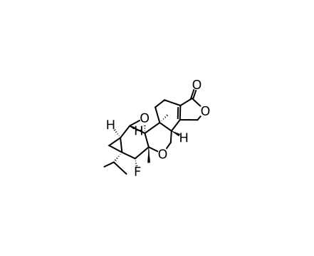 CC(C)[C@]12C[C@H]1[C@@H]1O[C@@]13[C@@]1(C)CCC4=C(COC4=O)[C@@H]1CO[C@]3(C)[C@@H]2F